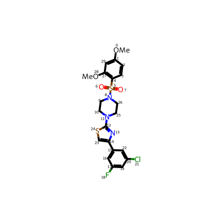 COc1ccc(S(=O)(=O)N2CCN(c3nc(-c4cc(F)cc(Cl)c4)cs3)CC2)c(OC)c1